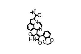 CN(C)C(=O)C1Cc2cccc3c2N1C=CN=C3C1=C(c2cccc3c2OCCO3)C(=O)NC1=O